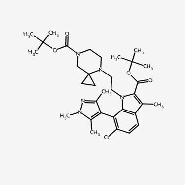 Cc1nn(C)c(C)c1-c1c(Cl)ccc2c(C)c(C(=O)OC(C)(C)C)n(CCN3CCN(C(=O)OC(C)(C)C)CC34CC4)c12